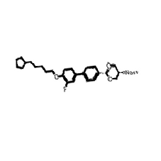 CCCCCCCCC[C@H]1CO[C@H](c2ccc(-c3ccc(OCCCCCC4CCCC4)c(F)c3)cc2)OC1